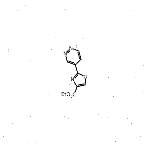 CCOC(=O)c1coc(-c2ccnnc2)n1